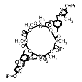 Cc1cc(OC(C)C)nn1Cc1ccc(C[C@H]2OC(=O)[C@H](CC(C)C)N(C)C(=O)[C@@H](C)OC(=O)[C@H](CC(C)C)N(C)C(=O)[C@@H](Cc3ccc(Cn4nc(OC(C)C)cc4C)cc3)OC(=O)[C@H](CC(C)C)N(C)C(=O)[C@@H](C)OC(=O)[C@H](CC(C)C)N(C)C2=O)cc1